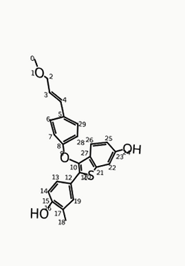 COC/C=C/c1ccc(Oc2c(-c3ccc(O)c(C)c3)sc3cc(O)ccc23)cc1